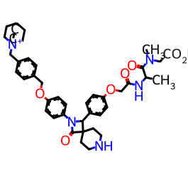 CC(NC(=O)COc1ccc(C2N(c3ccc(OCc4ccc(C[N+]56CCC(CC5)CC6)cc4)cc3)C(=O)C23CCNCC3)cc1)C(=O)N(C)CC(=O)O